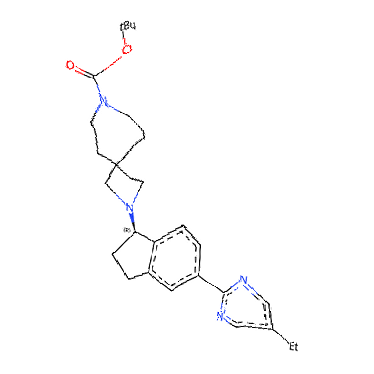 CCc1cnc(-c2ccc3c(c2)CC[C@H]3N2CC3(CCN(C(=O)OC(C)(C)C)CC3)C2)nc1